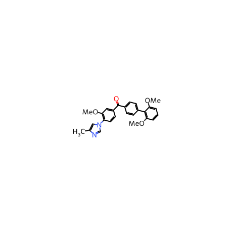 COc1cc(C(=O)c2ccc(-c3c(OC)cccc3OC)cc2)ccc1-n1cnc(C)c1